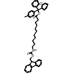 Cc1ccc(C(OC(=O)CCCCCCCCCCNC(=O)OCC2c3ccccc3-c3ccccc32)(c2ccccc2)c2ccccc2Cl)cc1